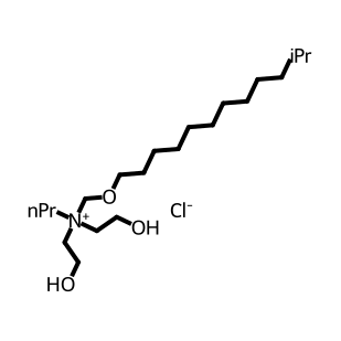 CCC[N+](CCO)(CCO)COCCCCCCCCCCC(C)C.[Cl-]